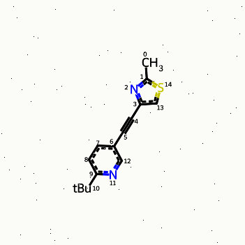 Cc1nc(C#Cc2ccc(C(C)(C)C)nc2)cs1